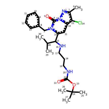 Cc1nn2c(=O)n(Cc3ccccc3)c(C(NCCCNC(=O)OC(C)(C)C)C(C)C)cc2c1Cl